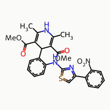 COC(=O)C1=C(C)NC(C)=C(C(=O)OC)C1c1ccccc1Nc1nc(-c2ccccc2[N+](=O)[O-])cs1